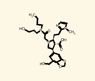 CCCCN(CCCO)C(=O)CN1C[C@H](c2cc(CO)c3c(c2)OCO3)[C@@H](C(=O)O)[C@@H]1CCc1nccn1C